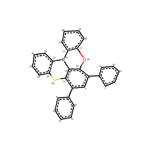 c1ccc(-c2cc(-c3ccccc3)c3c4c2Oc2ccccc2B4c2ccccc2S3)cc1